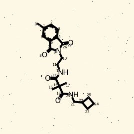 Cc1ccc2c(c1)C(=O)N(CCNC(=O)C(C)(C)C(=O)NCC1CCC1)C2=O